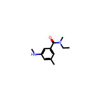 CCN(C)C(=O)c1cc(C)cc(NC)c1